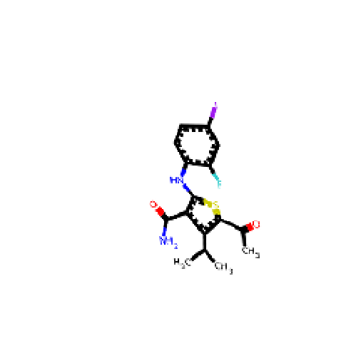 CC(=O)c1sc(Nc2ccc(I)cc2F)c(C(N)=O)c1C(C)C